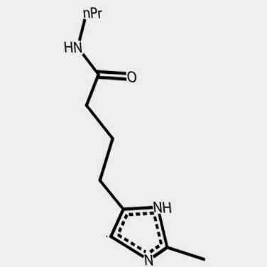 CCCNC(=O)CCCc1[c]nc(C)[nH]1